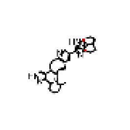 CC1CCC=C(c2n[nH]cc2C2C/C=C/c3cc(-c4cn5c(n4)CC/C(C4CCNC4)=C/CC5)cnc3CC2)N1